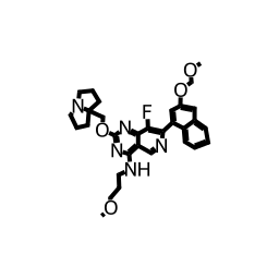 COCCCNc1nc(OCC23CCCN2CCC3)nc2c(F)c(-c3cc(OCOC)cc4ccccc34)ncc12